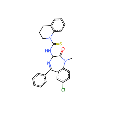 CN1C(=O)C(NC(=S)N2CCCc3ccccc32)N=C(c2ccccc2)c2cc(Cl)ccc21